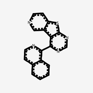 c1ccc2c(-c3ncnc4sc5ccncc5c34)nccc2c1